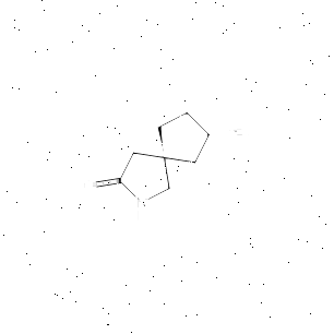 CC[C@H]1CC[C@]2(CNC(=O)C2)C1